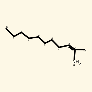 CCCCCCCC/C=C(/C)N